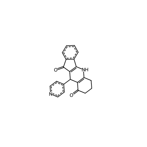 O=C1CCCC2=C1C(c1ccncc1)C1=C(N2)c2ccccc2C1=O